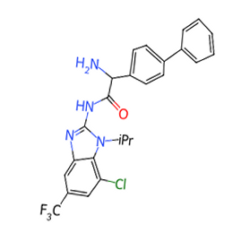 CC(C)n1c(NC(=O)C(N)c2ccc(-c3ccccc3)cc2)nc2cc(C(F)(F)F)cc(Cl)c21